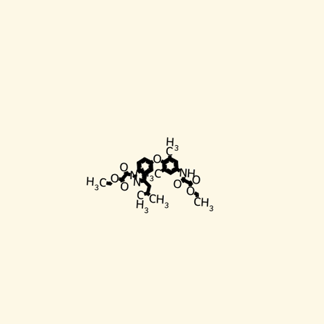 CCOC(=O)C(=O)Nc1cc(C)c(Oc2ccc3c(c2)c(CC(C)C)nn3C(=O)C(=O)OCC)c(C)c1